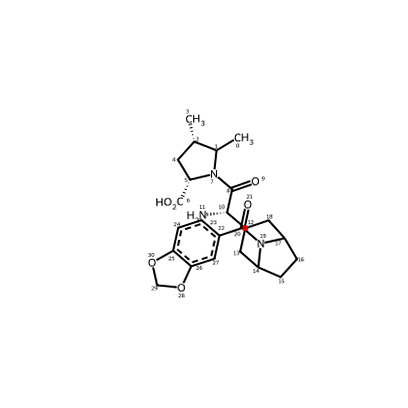 CC1[C@@H](C)C[C@@H](C(=O)O)N1C(=O)[C@@H](N)C1CC2CCC(C1)N2C(=O)c1ccc2c(c1)OCO2